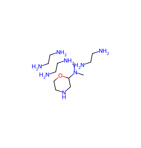 CN(C)C1CNCCO1.NCCN.NCCN.NCCN